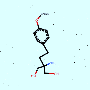 CCCCCCCCCOc1ccc(CCC(N)(CO)CO)cc1